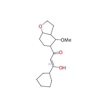 COC1C(C(=O)/C=C(\O)C2CCCCC2)CCC2OCCC21